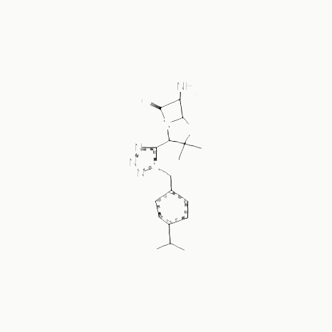 CC(C)c1ccc(Cn2nnnc2C2N3C(=O)C(N)C3SC2(C)C)cc1